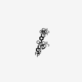 CC(C(=O)NCc1ccc(C(F)(F)F)nc1N1CCOCC1)c1ccc(CNS(C)(=O)=O)c(F)c1